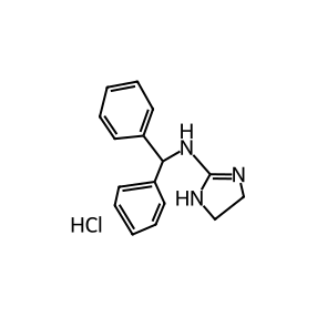 Cl.c1ccc(C(NC2=NCCN2)c2ccccc2)cc1